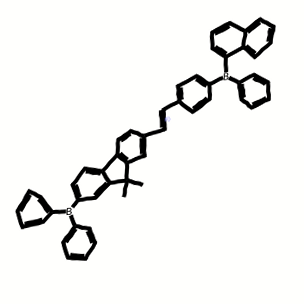 CC1(C)c2cc(/C=C/c3ccc(B(c4ccccc4)c4cccc5ccccc45)cc3)ccc2-c2ccc(B(c3ccccc3)c3ccccc3)cc21